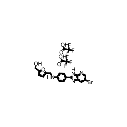 O=C(O)C(F)(F)F.O=C(O)C(F)(F)F.OCc1ccc(CNc2ccc(-c3nc4cc(Br)cnc4[nH]3)cc2)o1